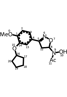 COc1ccc(C2=NOC(N(O)C(C)=O)C2)cc1OC1CCCC1